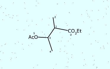 CCOC(=O)C(C)C(C)OC(C)=O